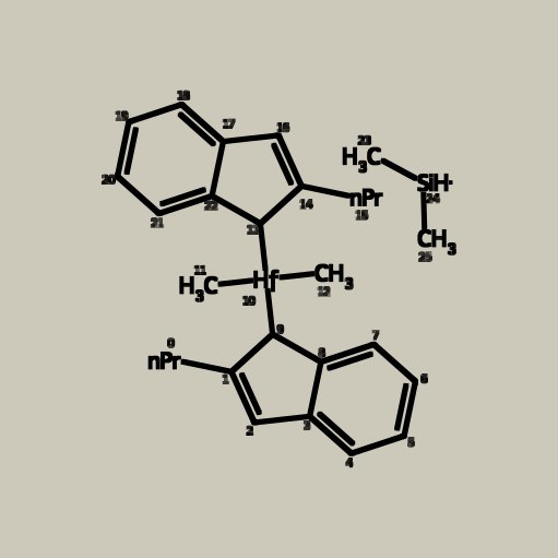 CCCC1=Cc2ccccc2[CH]1[Hf]([CH3])([CH3])[CH]1C(CCC)=Cc2ccccc21.C[SiH]C